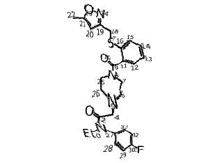 CCN(C(=O)CN1CCN(C(=O)c2ccccc2SCc2cc(C)on2)CC1)c1ccc(F)cc1